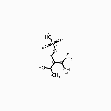 CC(O)C(CNS(=O)(=O)O)C(C)O